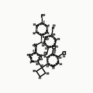 Fc1ccc(C/N=c2/scc(C3(c4ccc(Cl)c(Cl)c4)CCC3)n2Cc2ccc(F)cc2)cc1